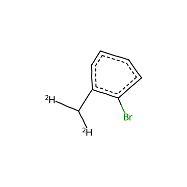 [2H]C([2H])c1ccccc1Br